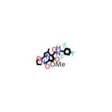 COc1c2n3c(c(C(=O)NCc4c(F)cc(F)cc4F)c1=O)C(C)CC3C1OCCCN1C2=O